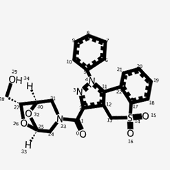 O=C(c1nn(-c2ccccc2)c2c1CS(=O)(=O)c1ccccc1-2)N1C[C@H]2O[C@H](CO)[C@@H](C1)O2